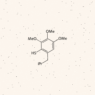 COc1cc(CC(C)C)c(S)c(OC)c1OC